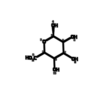 O=C(O)C1O[C@@H](O)C(O)C(O)C1O